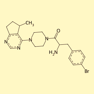 CC1CCc2ncnc(N3CCN(C(=O)C(N)Cc4ccc(Br)cc4)CC3)c21